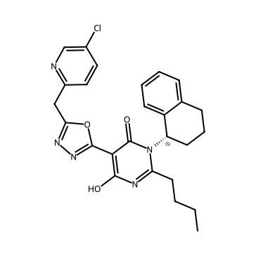 CCCCc1nc(O)c(-c2nnc(Cc3ccc(Cl)cn3)o2)c(=O)n1[C@H]1CCCc2ccccc21